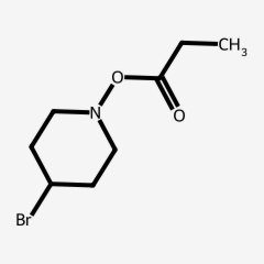 CCC(=O)ON1CCC(Br)CC1